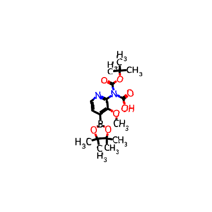 COc1c(B2OC(C)(C)C(C)(C)O2)ccnc1N(C(=O)O)C(=O)OC(C)(C)C